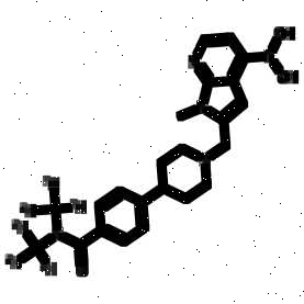 [2H]C([2H])([2H])N(C(=O)c1ccc(C2CCN(Cc3cc4c(B(O)O)ccnc4n3C)CC2)cc1)C([2H])([2H])[2H]